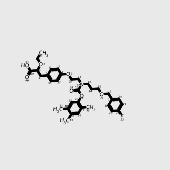 CCOC(Cc1ccc(OCCN(CCCOCc2ccc(F)cc2)C(=O)Oc2cc(C)c(C)cc2C)cc1)C(=O)O